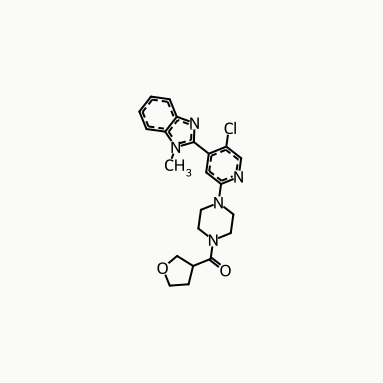 Cn1c(-c2cc(N3CCN(C(=O)C4CCOC4)CC3)ncc2Cl)nc2ccccc21